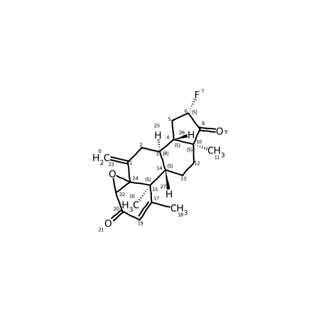 C=C1C[C@H]2[C@@H]3C[C@H](F)C(=O)[C@@]3(C)CC[C@@H]2[C@@]2(C)C(C)=CC(=O)C3OC132